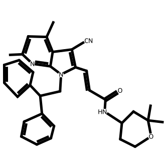 Cc1cc(C)c2c(C#N)c(/C=C/C(=O)NC3CCOC(C)(C)C3)n(CC(c3ccccc3)c3ccccc3)c2n1